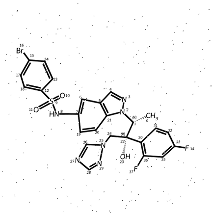 C[C@@H](n1ncc2cc(NS(=O)(=O)c3ccc(Br)cc3)ccc21)[C@](O)(Cn1cncn1)c1ccc(F)cc1F